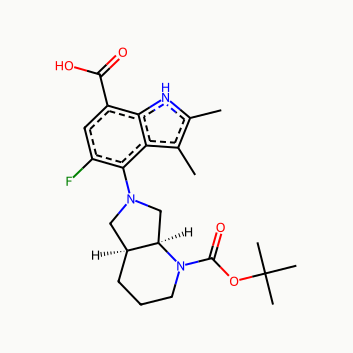 Cc1[nH]c2c(C(=O)O)cc(F)c(N3C[C@@H]4CCCN(C(=O)OC(C)(C)C)[C@@H]4C3)c2c1C